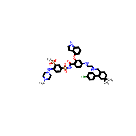 CN1CCN(Nc2ccc(S(=O)(=O)NC(=O)c3ccc(NCCNCC4=C(c5ccc(Cl)cc5)CC(C)(C)CC4)cc3Oc3cccc4[nH]ccc34)cc2S(=O)(=O)C(F)(F)F)CC1